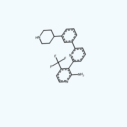 Nc1nccc(C(F)(F)F)c1-c1cccc(-c2cccc(C3CCNCC3)c2)n1